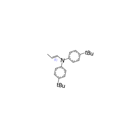 C/C=C/N(c1ccc(C(C)(C)C)cc1)c1ccc(C(C)(C)C)cc1